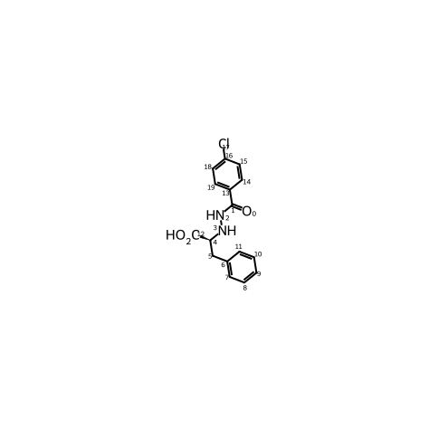 O=C(NN[C@@H](Cc1ccccc1)C(=O)O)c1ccc(Cl)cc1